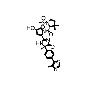 Cc1ncsc1-c1ccc([C@]2(C)NC([C@H]3C[C@@H](O)CN3C(=O)[C@@H]3N(S(C)(=O)=O)CCC3(C)C)=NC2=O)cc1